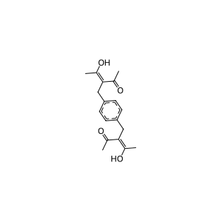 CC(=O)/C(Cc1ccc(C/C(C(C)=O)=C(\C)O)cc1)=C(/C)O